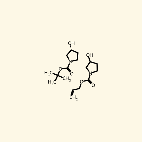 C=CCOC(=O)N1CCC(O)C1.CC(C)(C)OC(=O)N1CC[C@@H](O)C1